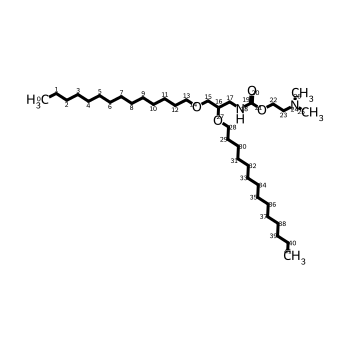 CCCCCCCCCCCCCCOCC(CNC(=O)OCCN(C)C)OCCCCCCCCCCCCCC